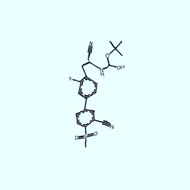 CC(C)(C)OC(O)N[C@H](C#N)Cc1ccc(-c2ccc(S(C)(=O)=O)c(C#N)c2)cc1F